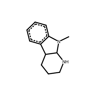 CN1c2ccccc2C2CCCNC21